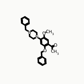 COc1cc(C(C)=O)c(OCc2ccccc2)cc1N1CCN(Cc2ccccc2)CC1